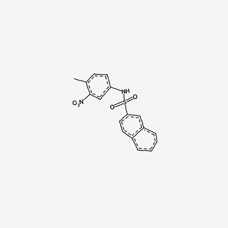 Cc1ccc(NS(=O)(=O)c2ccc3ccccc3c2)cc1[N+](=O)[O-]